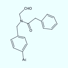 CC(=O)c1ccc(CN(CC=O)C(=O)Cc2ccccc2)cc1